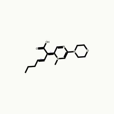 CCC/C=C/C(C(=O)O)=C1/C=NC(N2CCOCC2)=CN1C